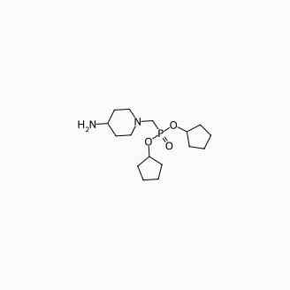 NC1CCN(CP(=O)(OC2CCCC2)OC2CCCC2)CC1